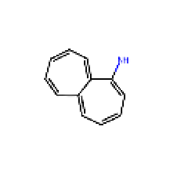 [NH]C1=CC=CC=C2C=CC=CC=C12